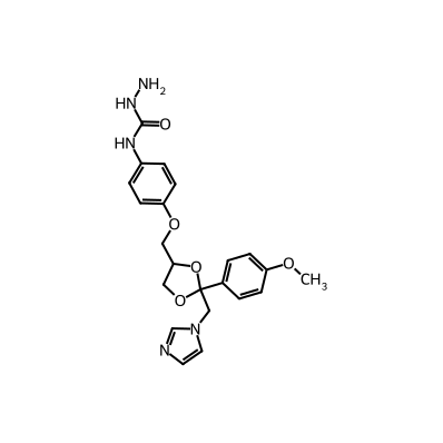 COc1ccc(C2(Cn3ccnc3)OCC(COc3ccc(NC(=O)NN)cc3)O2)cc1